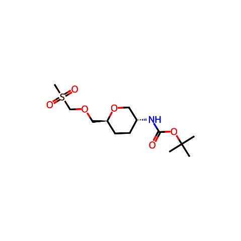 CC(C)(C)OC(=O)N[C@@H]1CC[C@@H](COCS(C)(=O)=O)OC1